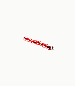 C=CC(=O)OCCOCCOCCOCCOCCOCCOCCOCCOCCOCC